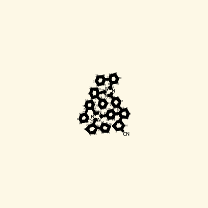 N#Cc1cccc(-c2cccc(-c3ccc(-c4nc(-c5ccccc5-c5ccccc5)nc(-c5ccccc5-c5ccccc5)n4)cc3)c2-c2ccc(-c3nc(-c4ccccc4-c4ccccc4)nc(-c4ccccc4-c4ccccc4)n3)cc2)c1